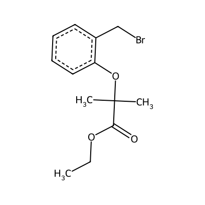 CCOC(=O)C(C)(C)Oc1ccccc1CBr